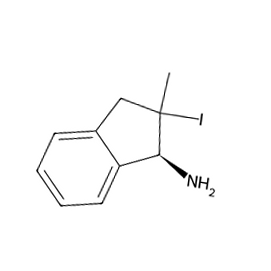 CC1(I)Cc2ccccc2[C@@H]1N